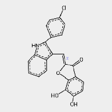 O=C1/C(=C/c2c(-c3ccc(Cl)cc3)[nH]c3ccccc23)Oc2c1ccc(O)c2O